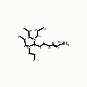 CCCN(CCC)C(CCCC=C[SiH3])N(CCC)CCC